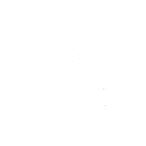 O=C(O)C1=CC2CCC1(CC(CSCCCc1ccc(O)c(O)c1)C13CCC(C=C1C(=O)O)C3)C2